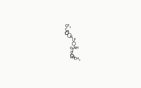 Cn1cc(OCC(=O)NC2CCC(F)(CCN3CCc4ccc(CCC(F)(F)F)nc4CC3)CC2)cn1